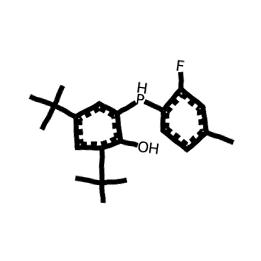 Cc1ccc(Pc2cc(C(C)(C)C)cc(C(C)(C)C)c2O)c(F)c1